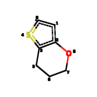 [c]1cc2c(s1)CCCO2